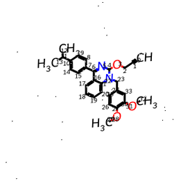 C#CCOC1N=C(c2ccc(C(C)C)cc2)c2ccccc2N1Cc1ccc(OC)c(OC)c1